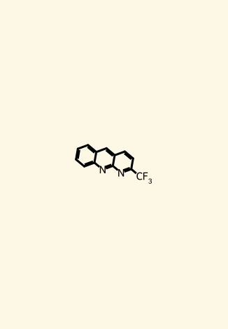 FC(F)(F)c1ccc2cc3ccccc3nc2n1